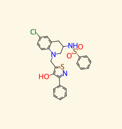 O=S(=O)(NC1Cc2cc(Cl)ccc2N(Cc2snc(-c3ccccc3)c2O)C1)c1ccccc1